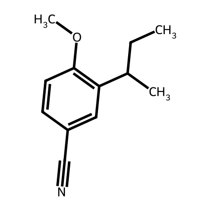 CCC(C)c1cc(C#N)ccc1OC